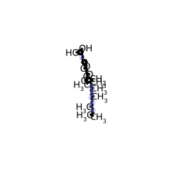 CC(C)=C/C=C/C(C)=C/C=C/C=C(C)/C=C/C=C(C)/C=C/C1=C(C)C(=O)C(OC(=O)CCC(=O)Oc2ccc(/C=C/c3cc(O)cc(O)c3)cc2)CC1(C)C